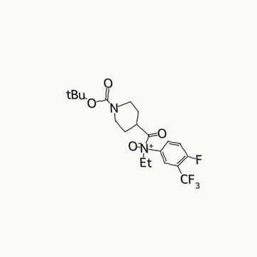 CC[N+]([O-])(C(=O)C1CCN(C(=O)OC(C)(C)C)CC1)c1ccc(F)c(C(F)(F)F)c1